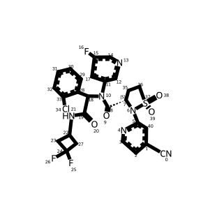 N#Cc1ccnc(N2[C@H](C(=O)N(c3cncc(F)c3)C(C(=O)NC3CC(F)(F)C3)c3ccccc3Cl)CCS2(=O)=O)c1